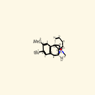 COc1cc2c(cc1C(C)(C)C)C[C@H]1[C@H]3CCCC[C@@]23CCN1C